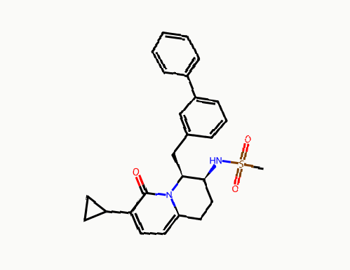 CS(=O)(=O)N[C@H]1CCc2ccc(C3CC3)c(=O)n2[C@H]1Cc1cccc(-c2ccccc2)c1